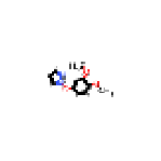 COc1ccc(On2cc[c]n2)cc1OC